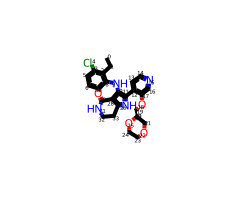 CCc1c(Cl)cccc1Nc1c(-c2ccncc2OC[C@H]2COCCO2)[nH]c2c1C(=O)NCC2